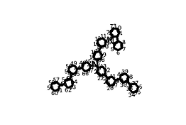 C1=CC2C3=C(CCC=C3)N(C3CCC=C(C4C=CC(N(C5C=CC(C6C=CCC(C7=CC(C8=CCCCC8)=CCC7)C6)CC5)C5CC=C(C6CCC=C(C7=CC(C8C=CCCC8)CCC7)C6)CC5)=CC4)C3)C2C=C1